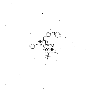 COC[C@H](NC(=O)[C@H](CCc1ccccc1)NC(=O)Cc1ccc(CN2CCOCC2)cc1)C(=O)NC(CC(C)C)C(=O)[C@@]1(C)CO1